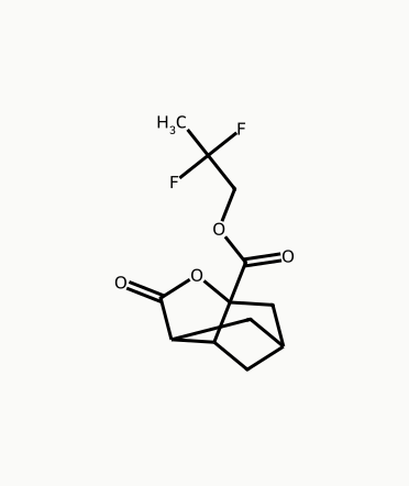 CC(F)(F)COC(=O)C12CC3CC(C(=O)O1)C2C3